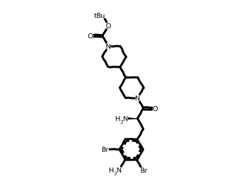 CC(C)(C)OC(=O)N1CCC(C2CCN(C(=O)[C@H](N)Cc3cc(Br)c(N)c(Br)c3)CC2)CC1